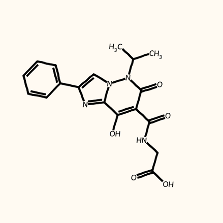 CC(C)n1c(=O)c(C(=O)NCC(=O)O)c(O)c2nc(-c3ccccc3)cn21